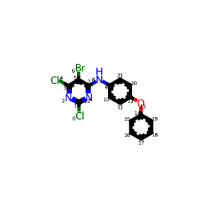 Clc1nc(Cl)c(Br)c(Nc2ccc(Oc3ccccc3)cc2)n1